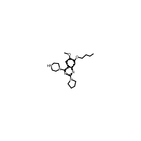 CCCCOc1cc2nc(N3CCCC3)nc(N3CCNCC3)c2cc1OC